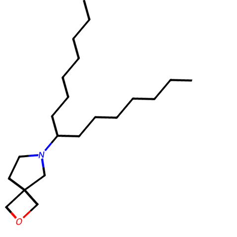 CCCCCCCC(CCCCCCC)N1CCC2(COC2)C1